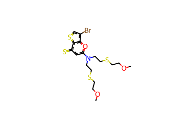 COCCSCCN(CCSCCOC)c1cc(=S)c2scc(Br)c2o1